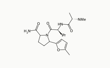 CN[C@@H](C)C(=O)N[C@H](C(=O)N1C(C(N)=O)CCC1c1ccc(C)o1)C(C)C